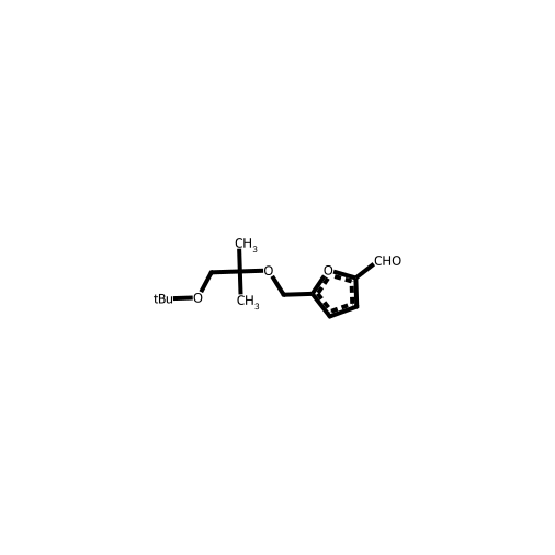 CC(C)(C)OCC(C)(C)OCc1ccc(C=O)o1